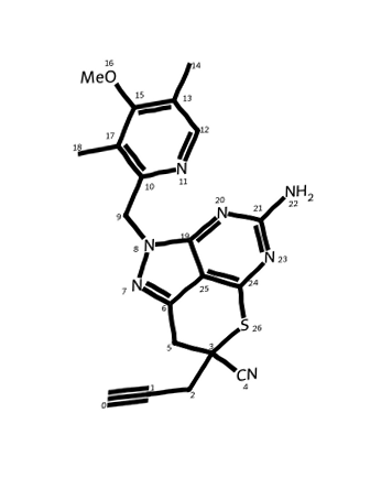 C#CCC1(C#N)Cc2nn(Cc3ncc(C)c(OC)c3C)c3nc(N)nc(c23)S1